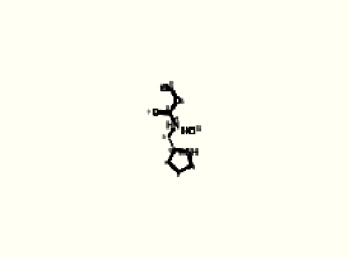 CC(C)(C)OC(=O)NC[C@H]1CCCN1.Cl